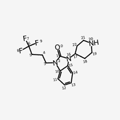 O=c1n(CCCC(F)(F)F)c2ccccc2n1C1CCNCC1